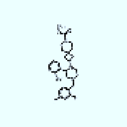 CC(C)c1ccccc1C1CN(Cc2ccc(F)cc2F)CCN1C1CC2(CCN(C(=O)OC(C)(C)C)CC2)C1